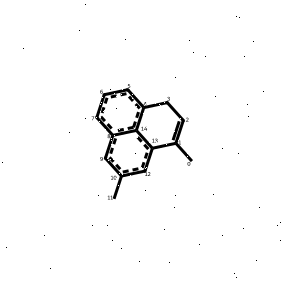 CC1=CCc2cccc3cc(C)cc1c23